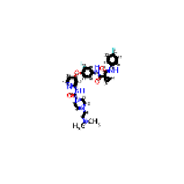 CN(C)CCN1CCN(C(=O)Nc2cc(Oc3ccc(NC(=O)C4(C(=O)Nc5ccc(F)cc5)CC4)cc3F)ccn2)CC1